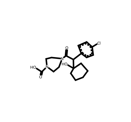 O=C(O)N1CCN(C(=O)C(c2ccc(Cl)cc2)C2(O)CCCCC2)CC1